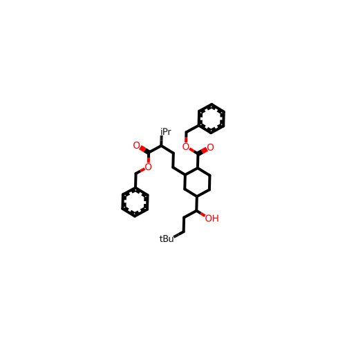 CC(C)C(CCC1CC(C(O)CCC(C)(C)C)CCC1C(=O)OCc1ccccc1)C(=O)OCc1ccccc1